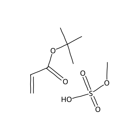 C=CC(=O)OC(C)(C)C.COS(=O)(=O)O